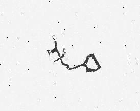 FC(F)C(F)(F)CC=Cc1ccccc1